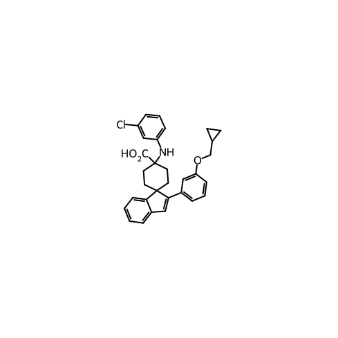 O=C(O)C1(Nc2cccc(Cl)c2)CCC2(CC1)C(c1cccc(OCC3CC3)c1)=Cc1ccccc12